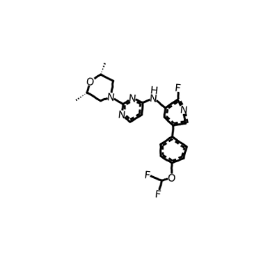 C[C@@H]1CN(c2nccc(Nc3cc(-c4ccc(OC(F)F)cc4)cnc3F)n2)C[C@H](C)O1